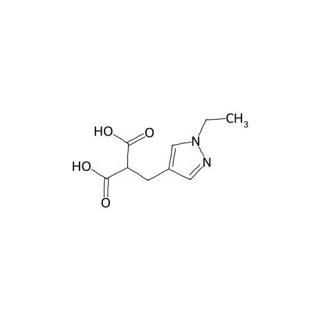 CCn1cc(CC(C(=O)O)C(=O)O)cn1